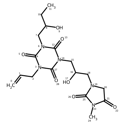 C=CCn1c(=O)n(CC(O)CC)c(=O)n(CC(O)CN2CC(=O)N(C)C2=O)c1=O